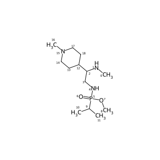 CNC(CNP(=O)(OC)C(C)C)C1CCN(C)CC1